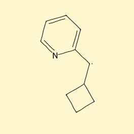 [CH](c1ccccn1)C1CCC1